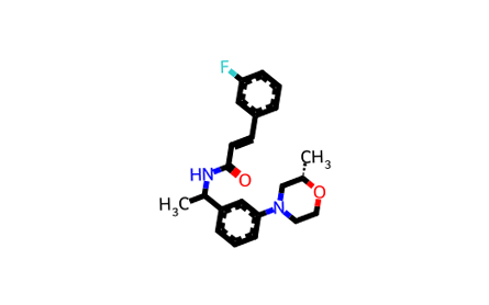 CC(NC(=O)C=Cc1cccc(F)c1)c1cccc(N2CCO[C@@H](C)C2)c1